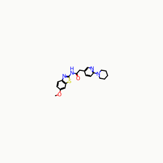 COc1ccc2nc(NC(=O)Cc3ccc(N4CCCCC4)nc3)sc2c1